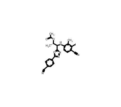 CC(=O)O[C@@H](C)C(Nc1ccc(C#N)c(I)c1C)c1nnc(-c2ccc(C#N)cc2)o1